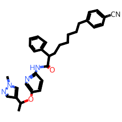 CC(Oc1ccc(NC(=O)C(CCCCCCc2ccc(C#N)cc2)c2ccccc2)nc1)c1cnn(C)c1